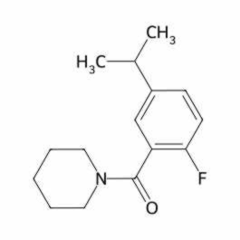 CC(C)c1ccc(F)c(C(=O)N2CCCCC2)c1